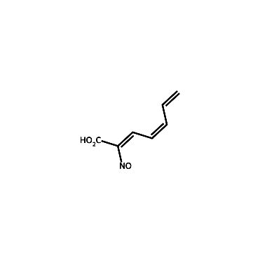 C=C/C=C\C=C(/N=O)C(=O)O